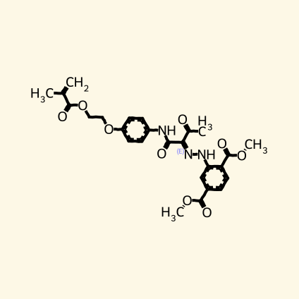 C=C(C)C(=O)OCCOc1ccc(NC(=O)/C(=N/Nc2cc(C(=O)OC)ccc2C(=O)OC)C(C)=O)cc1